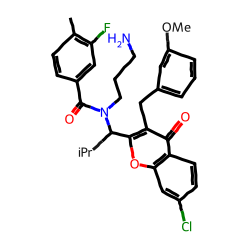 COc1cccc(Cc2c(C(C(C)C)N(CCCN)C(=O)c3ccc(C)c(F)c3)oc3cc(Cl)ccc3c2=O)c1